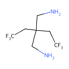 NCC(CN)(CC(F)(F)F)CC(F)(F)F